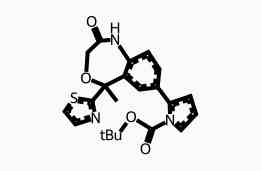 CC(C)(C)OC(=O)n1cccc1-c1ccc2c(c1)C(C)(c1nccs1)OCC(=O)N2